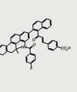 CC1(C)C=CC2=C(C1)CC(C)(C)c1c2ccc2cc(-c3ccc4ccccc4c3C(=O)C=Cc3ccc(C(=O)O)cc3)cc(NC(=O)c3ccc(F)cc3)c12